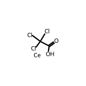 O=C(O)C(Cl)(Cl)Cl.[Ce]